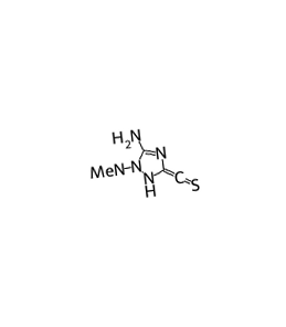 CNN1NC(=C=S)N=C1N